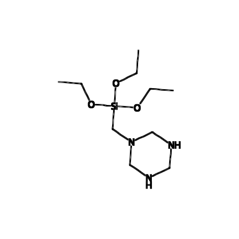 CCO[Si](CN1CNCNC1)(OCC)OCC